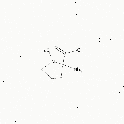 CN1CCCC1(N)C(=O)O